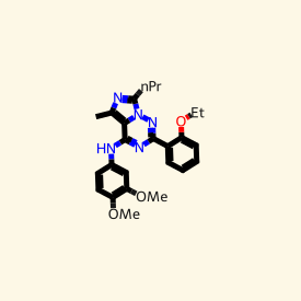 CCCc1nc(C)c2c(Nc3ccc(OC)c(OC)c3)nc(-c3ccccc3OCC)nn12